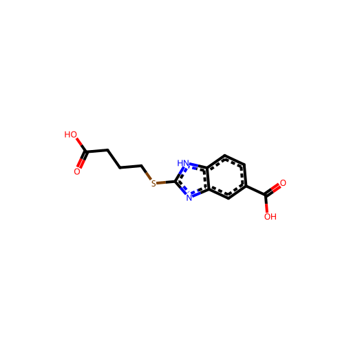 O=C(O)CCCSc1nc2cc(C(=O)O)ccc2[nH]1